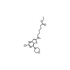 CCOC(=O)CCCCCN(C)c1cc2nc(Cl)nc(N3CCOCC3)c2s1